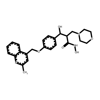 Cc1cc(COc2ccc(C(O)C(CN3CCOCC3)C(=O)NO)cc2)c2ccccc2n1